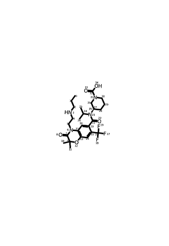 CCCNCCN1C(=O)C(C)(C)Oc2cc(C(F)(F)F)c(C(=O)N(C(C)C)[C@@H]3CCCN(C(=O)O)C3)cc21